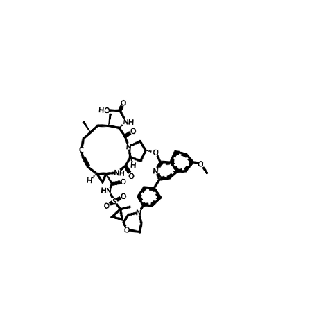 COc1ccc2c(O[C@@H]3C[C@H]4C(=O)N[C@]5(C(=O)NS(=O)(=O)C6(C)CC6)C[C@H]5C=CCC[C@@H](C)C[C@@H](C)[C@H](NC(=O)O)C(=O)N4C3)nc(-c3ccc(N4CCOCC4)cc3)cc2c1